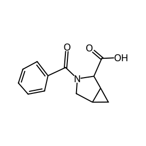 O=C(O)C1C2CC2CN1C(=O)c1ccccc1